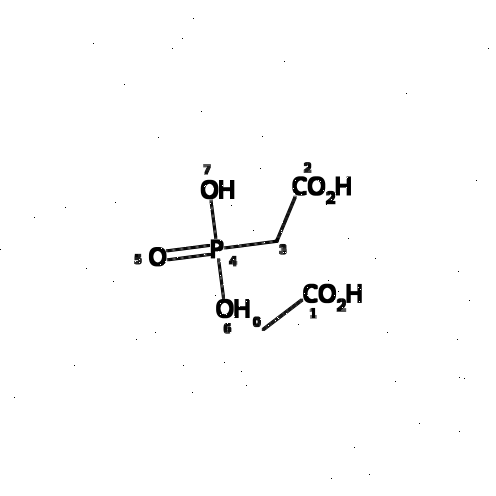 CC(=O)O.O=C(O)CP(=O)(O)O